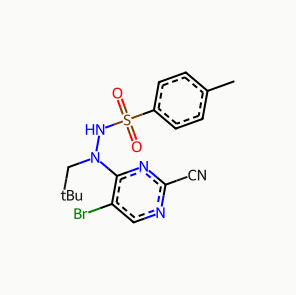 Cc1ccc(S(=O)(=O)NN(CC(C)(C)C)c2nc(C#N)ncc2Br)cc1